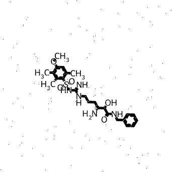 COc1cc(C)c(S(=O)(=O)NC(=N)NCCC[C@H](N)C(O)C(=O)NCc2ccccc2)c(C)c1C